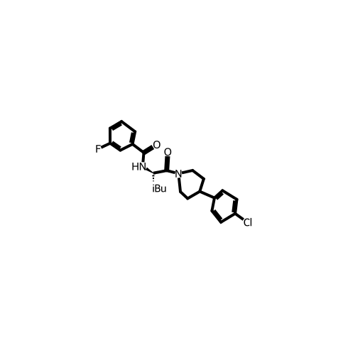 CC[C@@H](C)[C@@H](NC(=O)c1cccc(F)c1)C(=O)N1CCC(c2ccc(Cl)cc2)CC1